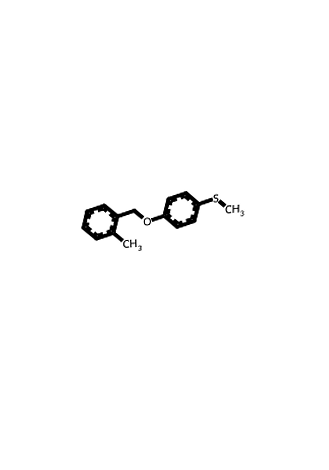 CSc1ccc(OCc2ccccc2C)cc1